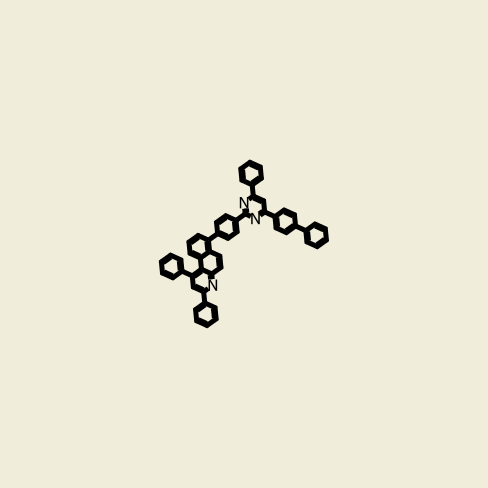 c1ccc(-c2ccc(-c3cc(-c4ccccc4)nc(-c4ccc(-c5cccc6c5ccc5nc(-c7ccccc7)cc(-c7ccccc7)c56)cc4)n3)cc2)cc1